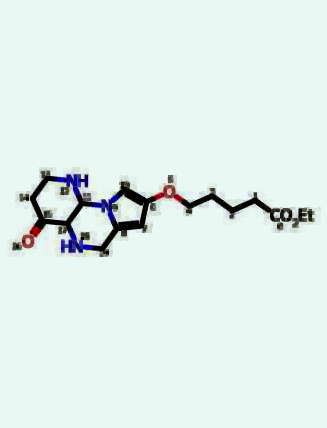 CCOC(=O)CCCCOc1cc2n(c1)C1NCCC(=O)C1NC2